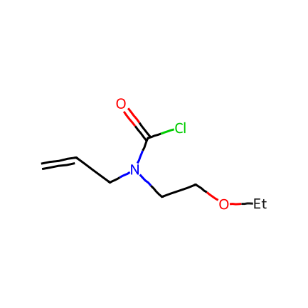 C=CCN(CCOCC)C(=O)Cl